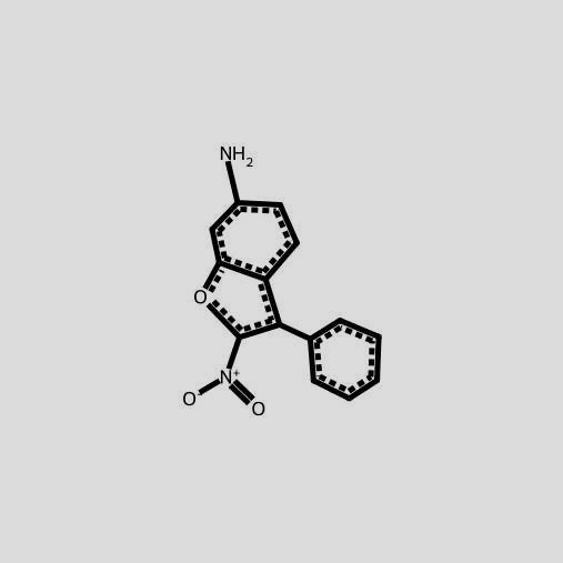 Nc1ccc2c(-c3ccccc3)c([N+](=O)[O-])oc2c1